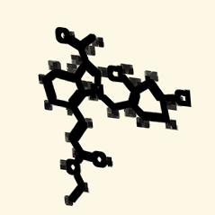 CCOC(=O)C=Cc1cccc2c(C(C)=O)cn(Cc3ccc(Cl)cc3Cl)c12